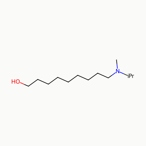 CC(C)N(C)CCCCCCCCCO